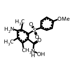 COc1ccc(S(=O)(=O)c2c(C)c(N)c(C)c(C)c2C(=O)NO)cc1